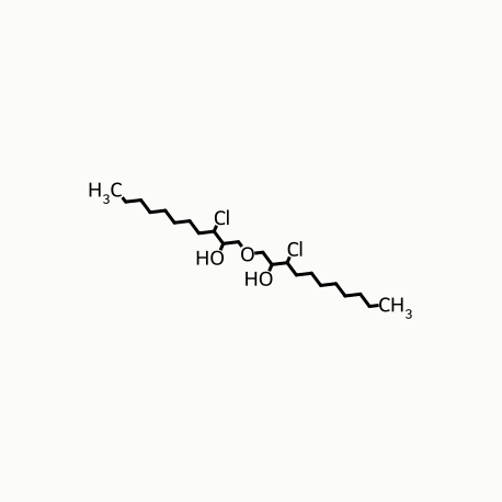 CCCCCCCCC(Cl)C(O)COCC(O)C(Cl)CCCCCCCC